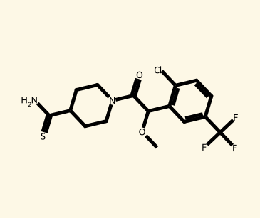 COC(C(=O)N1CCC(C(N)=S)CC1)c1cc(C(F)(F)F)ccc1Cl